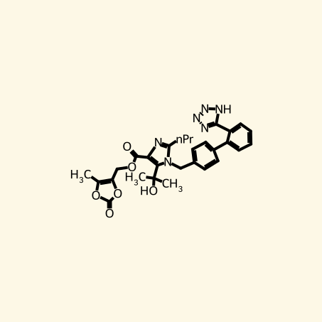 CCCc1nc(C(=O)OCc2oc(=O)oc2C)c(C(C)(C)O)n1Cc1ccc(-c2ccccc2-c2nnn[nH]2)cc1